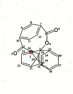 O=C1OC2(OC(=O)c3ccc1cc3)c1ccc(cc1)CC21C2=CC=C1C=C2